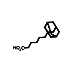 O=C(O)CCCCCC12CC3CC(CC(C3)C1)C2